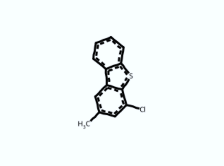 Cc1cc(Cl)c2sc3ccccc3c2c1